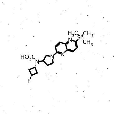 [CH3][Sn]([CH3])([CH3])[c]1ccc2nc(N3CCC(N(C(=O)O)[C@H]4C[C@H](F)C4)C3)ccc2n1